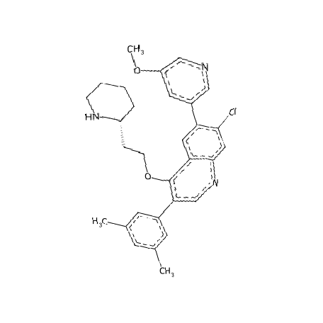 COc1cncc(-c2cc3c(OCC[C@H]4CCCCN4)c(-c4cc(C)cc(C)c4)cnc3cc2Cl)c1